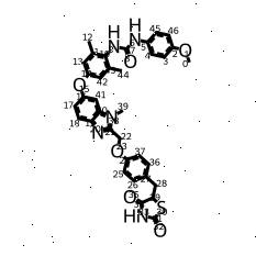 COc1ccc(NC(=O)Nc2c(C)cc(Oc3ccc4nc(COc5ccc(CC6SC(=O)NC6=O)cc5)n(C)c4c3)cc2C)cc1